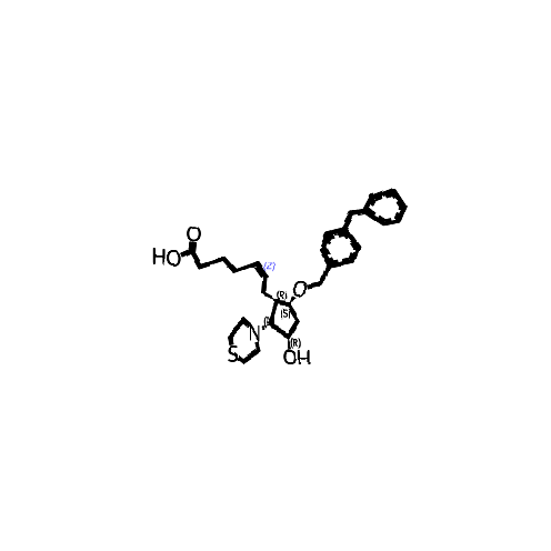 O=C(O)CCC/C=C\C[C@@H]1[C@@H](N2CCSCC2)[C@H](O)C[C@@H]1OCc1ccc(Cc2ccccc2)cc1